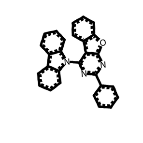 c1ccc(-c2nc(-n3c4ccccc4c4ccccc43)c3c(n2)oc2ccccc23)cc1